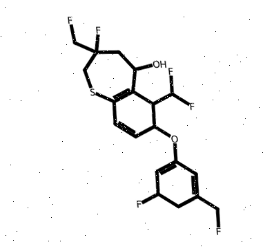 OC1CC(F)(CF)CSC2=C1C(C(F)F)C(OC1=CC(F)CC(CF)=C1)C=C2